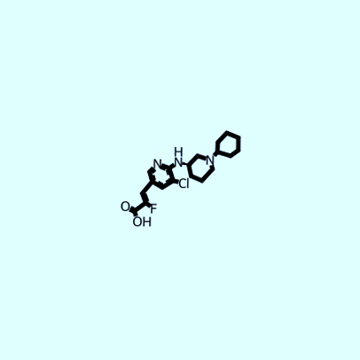 O=C(O)/C(F)=C/c1cnc(N[C@@H]2CCCN(C3CCCCC3)C2)c(Cl)c1